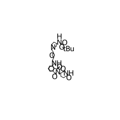 CC(C)(C)OC(=O)NC1CCN(CCOCCNc2cccc3c2C(=O)N(C2CCC(=O)NC2=O)C3=O)C1